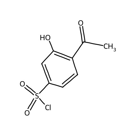 CC(=O)c1ccc(S(=O)(=O)Cl)cc1O